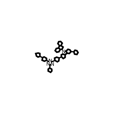 c1ccc(-c2ccc(-c3nc(-c4ccccc4)nc(-c4ccc(-c5ccc6c7cc(-c8ccccc8)ccc7n(-c7cc8ccccc8c8ccccc78)c6c5)cc4)n3)cc2)cc1